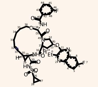 CCc1nc2ccc(F)cc2nc1O[C@@H]1C[C@H]2C(=O)N[C@]3(C(=O)NS(=O)(=O)C4CC4)C[C@H]3/C=C\CCCCC[C@H](NC(=O)c3cccc(F)c3)C(=O)N2C1